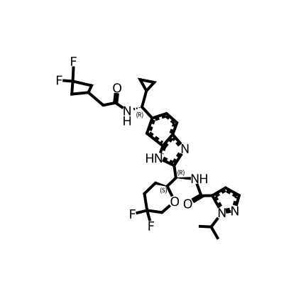 CC(C)n1nccc1C(=O)N[C@H](c1nc2ccc([C@H](NC(=O)CC3CC(F)(F)C3)C3CC3)cc2[nH]1)[C@@H]1CCC(F)(F)CO1